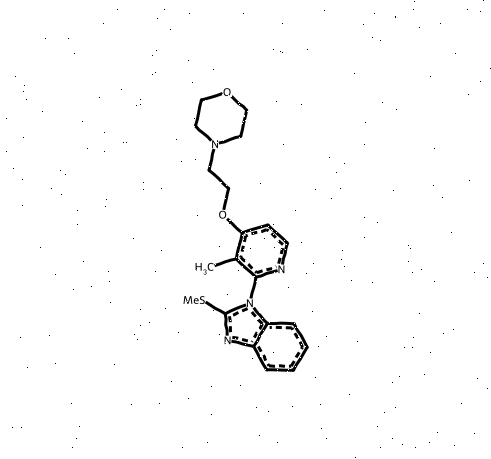 CSc1nc2ccccc2n1-c1nccc(OCCN2CCOCC2)c1C